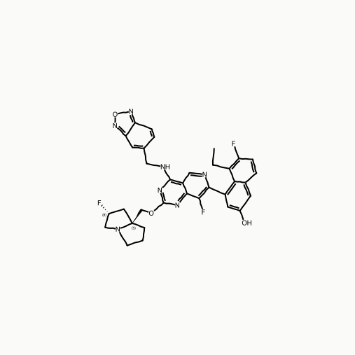 CCc1c(F)ccc2cc(O)cc(-c3ncc4c(NCc5ccc6nonc6c5)nc(OC[C@@]56CCCN5C[C@H](F)C6)nc4c3F)c12